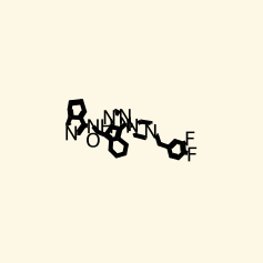 O=C(Nc1cncc2ccccc12)c1c2ncnn(N3CCN(CCc4ccc(F)c(F)c4)CC3)c-2c2c1CCCC2